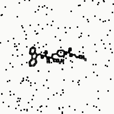 C=CCOC(=O)N1CCC(C[C@H](NC(=O)OCC2c3ccccc3-c3ccccc32)C(=O)O)CC1